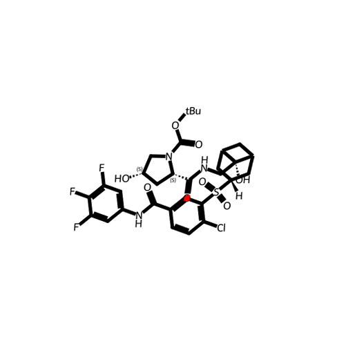 CC(C)(C)OC(=O)N1C[C@@H](O)C[C@H]1C(=O)NC[C@]1(O)C2CC1C[C@@H](S(=O)(=O)c1cc(C(=O)Nc3cc(F)c(F)c(F)c3)ccc1Cl)C2